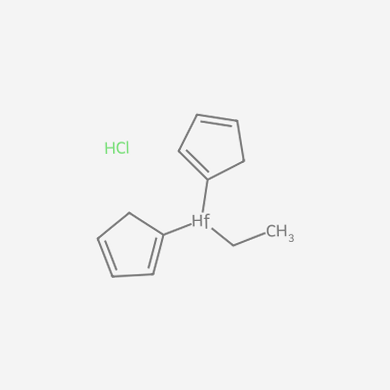 C[CH2][Hf]([C]1=CC=CC1)[C]1=CC=CC1.Cl